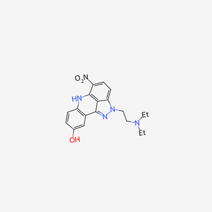 CCN(CC)CCn1nc2c3c(c([N+](=O)[O-])ccc31)Nc1ccc(O)cc1-2